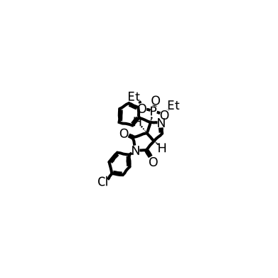 CCOP(=O)(OCC)[C@]1(c2ccccc2)N=C[C@H]2C(=O)N(c3ccc(Cl)cc3)C(=O)[C@H]21